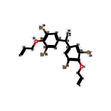 C=CCOc1c(Br)cc(C(CC)c2cc(Br)c(OCC=C)c(Br)c2)cc1Br